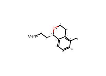 CNCC[C@@H]1OCCc2c(C)cccc21